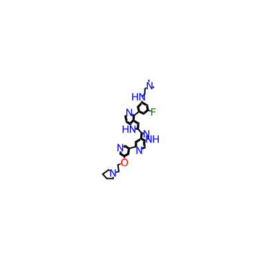 CN(C)CCNc1cc(F)cc(-c2nccc3[nH]c(-c4n[nH]c5cnc(-c6cncc(OCCN7CCCC7)c6)cc45)cc23)c1